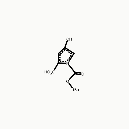 CC(C)(C)OC(=O)n1cc(O)cc1C(=O)O